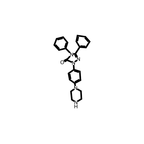 O=c1n(-c2ccc(N3CCNCC3)cc2)nc(-c2ccccc2)n1-c1ccccc1